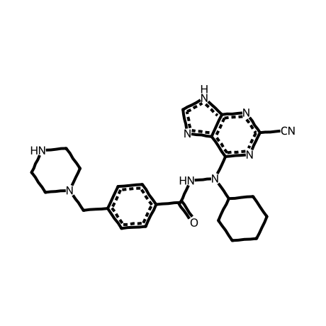 N#Cc1nc(N(NC(=O)c2ccc(CN3CCNCC3)cc2)C2CCCCC2)c2nc[nH]c2n1